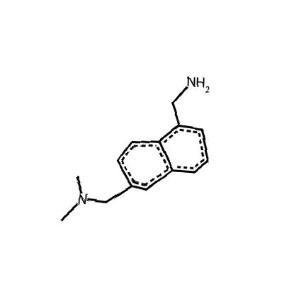 CN(C)Cc1ccc2c(CN)cccc2c1